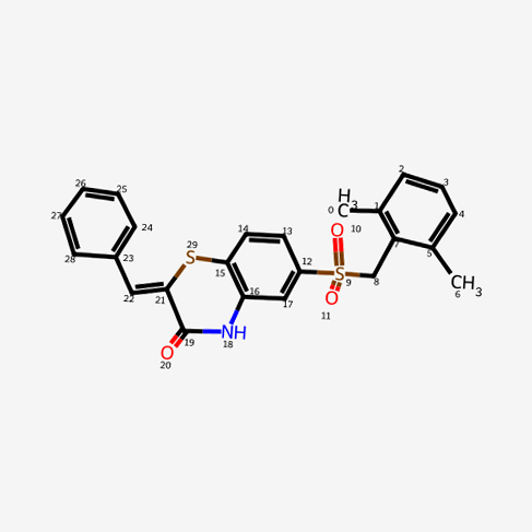 Cc1cccc(C)c1CS(=O)(=O)c1ccc2c(c1)NC(=O)/C(=C/c1ccccc1)S2